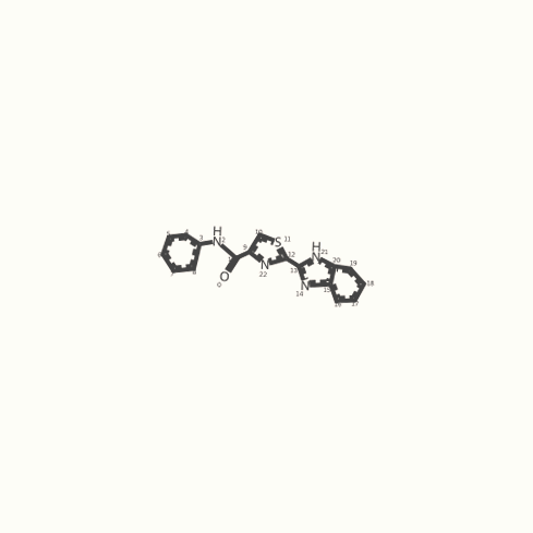 O=C(Nc1ccccc1)c1csc(-c2nc3ccccc3[nH]2)n1